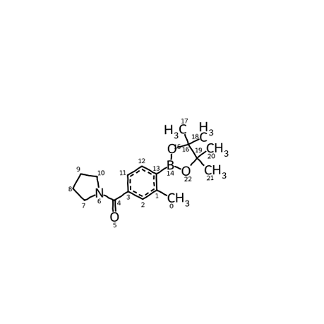 Cc1cc(C(=O)N2CCCC2)ccc1B1OC(C)(C)C(C)(C)O1